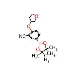 CC1(C)OB(c2ccc(OC3CCOC3)c(C#N)c2)OC1(C)C